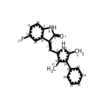 Cc1[nH]c(/C=C2\C(=O)Nc3ccc(F)cc32)c(C)c1-c1ccccc1